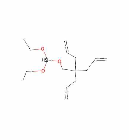 C=CCC(CC=C)(CC=C)CO[SiH](OCC)OCC